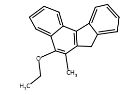 CCOc1c(C)c2c(c3ccccc13)-c1ccccc1C2